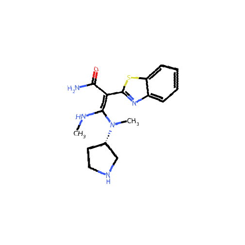 CN/C(=C(\C(N)=O)c1nc2ccccc2s1)N(C)[C@H]1CCNC1